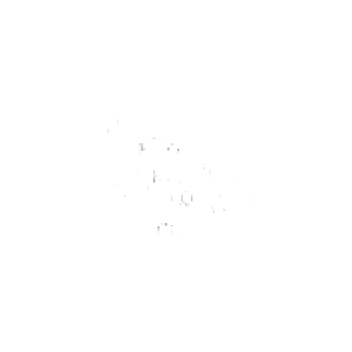 CCCC(=O)SCC(=O)N(c1c(C)ccc(C)c1C)C(C)C(=O)O